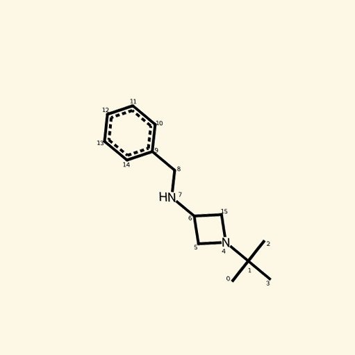 CC(C)(C)N1CC(NCc2ccccc2)C1